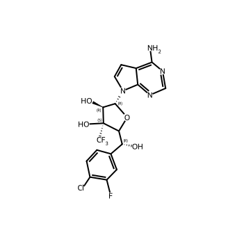 Nc1ncnc2c1ccn2[C@@H]1OC([C@H](O)c2ccc(Cl)c(F)c2)[C@](O)(C(F)(F)F)[C@H]1O